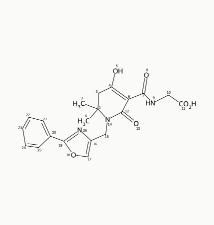 CC1(C)CC(O)=C(C(=O)NCC(=O)O)C(=O)N1Cc1coc(-c2ccccc2)n1